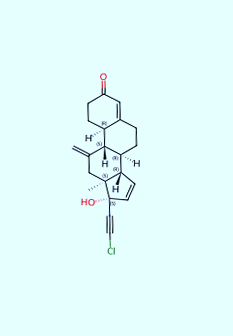 C=C1C[C@@]2(C)[C@@H](C=C[C@@]2(O)C#CCl)[C@@H]2CCC3=CC(=O)CC[C@@H]3[C@@H]12